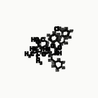 CC1(C)CC(C(CC(=O)O)NC(=O)[C@H](CC2CCCCC2)NC(=O)OC(Cc2cccc(Cl)c2)c2ccccc2)C(=O)N1